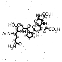 CC(=O)N[C@@H](CCC(N)=O)C(=O)N[C@@H](CC(=O)O)C(=O)N1CCC[C@H]1C(=O)N[C@@H](CCC(=O)O)C(=O)N[C@@H](CC(=O)O)C(N)=O